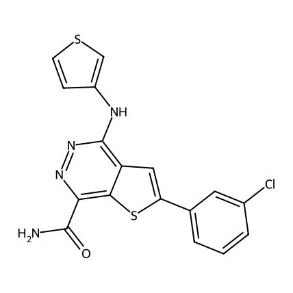 NC(=O)c1nnc(Nc2ccsc2)c2cc(-c3cccc(Cl)c3)sc12